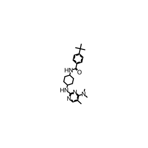 Cc1cnc(NC2CCC(NC(=O)c3ccc(C(C)(C)C)cc3)CC2)nc1N(C)C